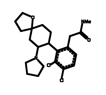 CNC(=O)Cc1ccc(Cl)c(Cl)c1C1CCC2(CCCO2)CC1N1CCCC1